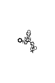 CC(C)(C)OC(=O)N1CCC(c2nc(N3CCOCC3)nc3c2CCN3c2ccccc2)C1